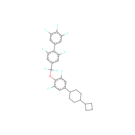 Fc1cc(-c2c(F)cc(C(F)(F)Oc3c(F)cc(C4CCC(C5CCC5)CC4)cc3F)cc2F)cc(F)c1F